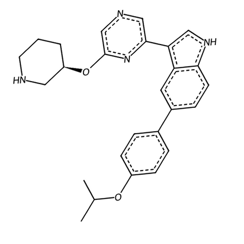 CC(C)Oc1ccc(-c2ccc3[nH]cc(-c4cncc(O[C@@H]5CCCNC5)n4)c3c2)cc1